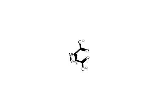 NN.O=C(O)/C=C\C(=O)O